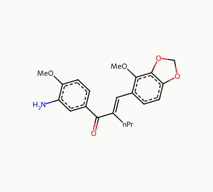 CCC/C(=C\c1ccc2c(c1OC)OCO2)C(=O)c1ccc(OC)c(N)c1